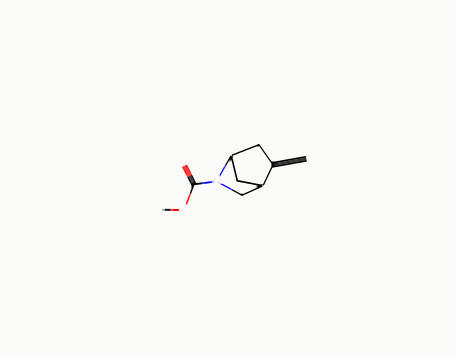 C=C1CC2CC1CN2C(=O)OC(C)(C)C